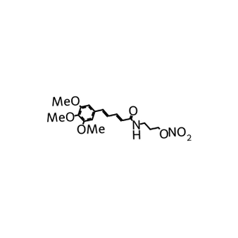 COc1cc(C=CC=CC(=O)NCCCO[N+](=O)[O-])cc(OC)c1OC